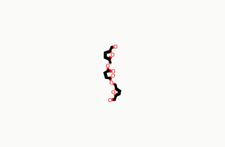 O=Cc1ccc(COC(=O)/C=C\C(=O)OCc2ccc(C=O)o2)o1